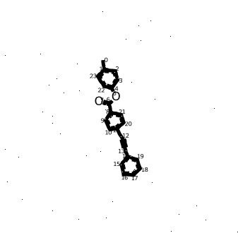 Cc1ccc(OC(=O)c2ccc(C#Cc3ccccc3)cc2)cc1